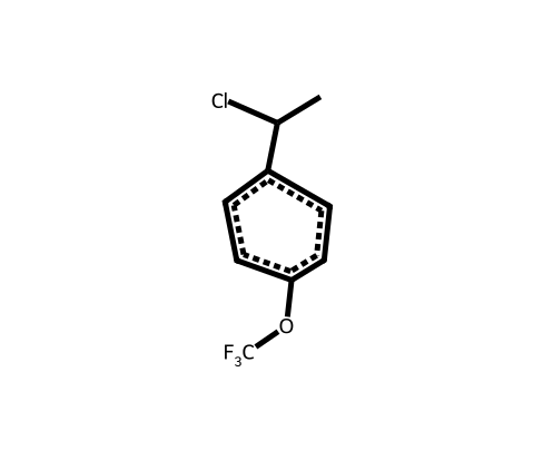 CC(Cl)c1ccc(OC(F)(F)F)cc1